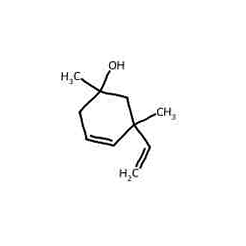 C=CC1(C)C=CCC(C)(O)C1